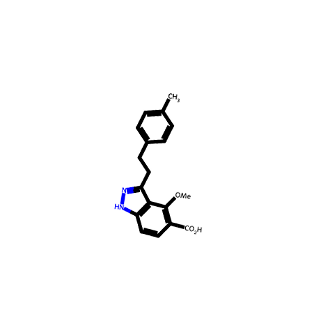 COc1c(C(=O)O)ccc2[nH]nc(CCc3ccc(C)cc3)c12